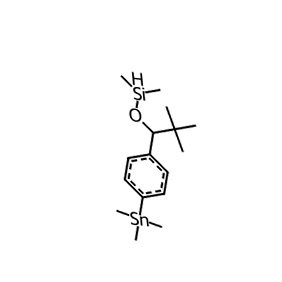 C[SiH](C)OC(c1cc[c]([Sn]([CH3])([CH3])[CH3])cc1)C(C)(C)C